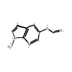 O=COc1cnc2c(ccn2P)c1